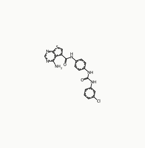 Nc1ncnc2scc(C(=O)Nc3ccc(NC(=O)Nc4cccc(Cl)c4)cc3)c12